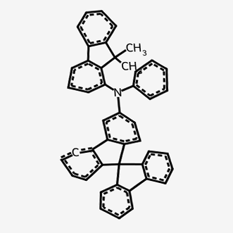 CC1(C)c2ccccc2-c2cccc(N(c3ccccc3)c3ccc4c(c3)-c3ccccc3C43c4ccccc4-c4ccccc43)c21